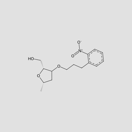 C[C@H]1CC(OCCCc2ccccc2[N+](=O)[O-])[C@@H](CO)O1